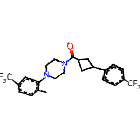 Cc1ccc(C(F)(F)F)cc1N1CCN(C(=O)C2CC(c3ccc(C(F)(F)F)cc3)C2)CC1